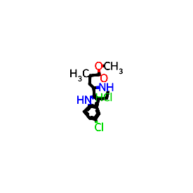 COC(=O)C(C)CC1NCCc2c1[nH]c1ccc(Cl)cc21.Cl